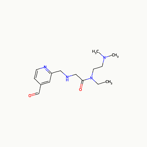 CCN(CCN(C)C)C(=O)CNCc1cc(C=O)ccn1